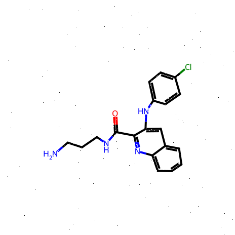 NCCCNC(=O)c1nc2ccccc2cc1Nc1ccc(Cl)cc1